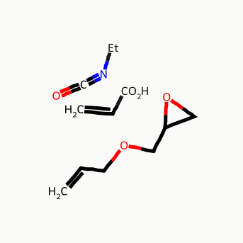 C=CC(=O)O.C=CCOCC1CO1.CCN=C=O